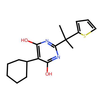 CC(C)(c1nc(O)c(C2CCCCC2)c(O)n1)c1cccs1